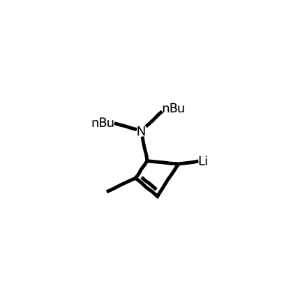 [Li][CH]1C=C(C)C1N(CCCC)CCCC